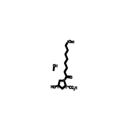 CCCCCCCCCCCCCCCCCC(=O)N1C[C@H](O)C[C@H]1C(=O)O.CO